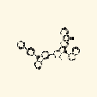 CC1C=C(c2ccc3c(c2)c2ccccc2n3-c2ccc(-c3ccccc3)cc2)C=C2c3cc4c(cc3N(c3cccc5ccccc35)C21)[nH]c1ccccc14